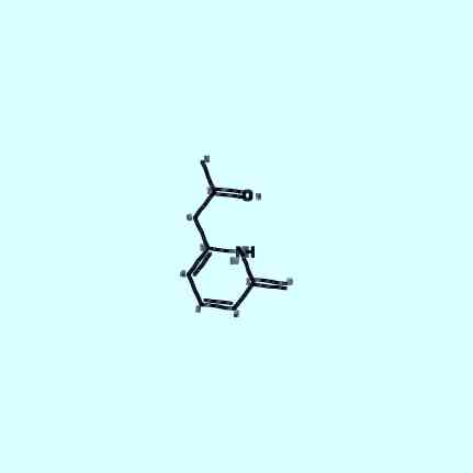 C=C1C=CC=C(CC(C)=O)N1